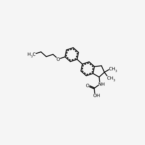 CCCCOc1cccc(-c2ccc3c(c2)CC(C)(C)C3NC(=O)O)c1